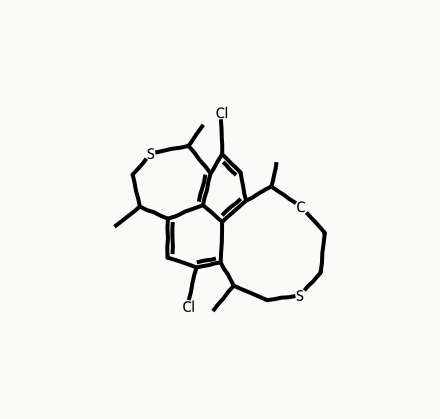 CC1CCCSCC(C)c2c(Cl)cc3c4c(c(Cl)cc1c24)C(C)SCC3C